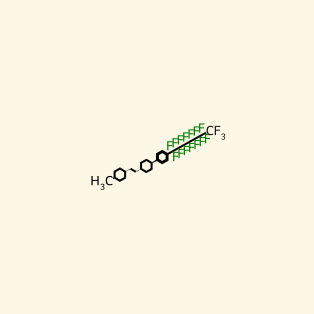 C[C@H]1CC[C@H](CC[C@H]2CC[C@H](c3ccc(C(F)(F)C(F)(F)C(F)(F)C(F)(F)C(F)(F)C(F)(F)C(F)(F)C(F)(F)F)cc3)CC2)CC1